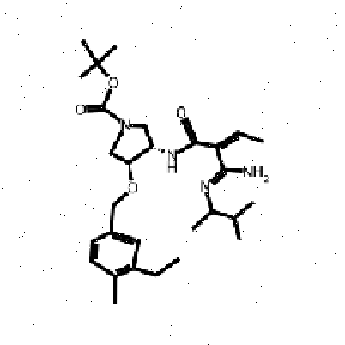 C/C=C(/C(=O)N[C@H]1CN(C(=O)OC(C)(C)C)C[C@@H]1OCc1ccc(C)c(CC)c1)C(N)=NC(C)C(C)C